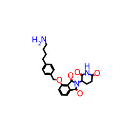 NCCCCc1ccc(COc2cccc3c2C(=O)N(C2CCC(=O)NC2=O)C3=O)cc1